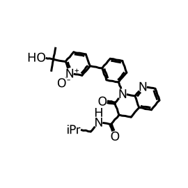 CC(C)CNC(=O)C1Cc2cccnc2N(c2cccc(-c3ccc(C(C)(C)O)[n+]([O-])c3)c2)C1=O